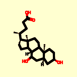 C[C@H](CCC(=O)O)[C@H]1CCC2[C@@H]3C(O)C[C@@H]4C[C@H](O)CC[C@]4(C)C3CC[C@@]21C